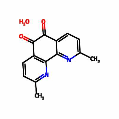 Cc1ccc2c(n1)-c1nc(C)ccc1C(=O)C2=O.O